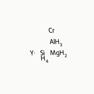 [AlH3].[Cr].[MgH2].[SiH4].[Y]